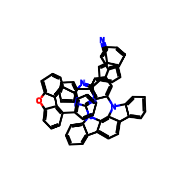 N#Cc1cccc(-c2nc(-c3cccc4oc5cccc(-c6ccccc6)c5c34)nc(-n3c4ccccc4c4ccc5c6ccccc6n(-c6cc(-c7ccccc7)cc(-c7ccccc7)c6)c5c43)n2)c1